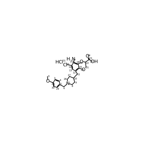 COc1ccc(CN2CCC(Cc3cc(Cl)c(N)c4c3OCC(C(=O)O)O4)CC2)cc1.Cl